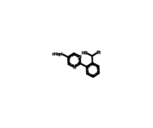 CCCCCCCc1cnc(-c2ccccc2C(O)CC)nc1